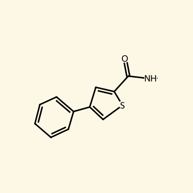 [NH]C(=O)c1cc(-c2ccccc2)cs1